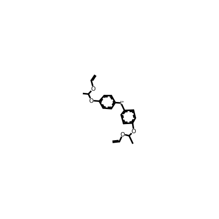 C=COC(C)Oc1ccc([I+]c2ccc(OC(C)OC=C)cc2)cc1